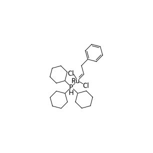 [Cl][Ru]([Cl])(=[CH]Cc1ccccc1)[PH](C1CCCCC1)(C1CCCCC1)C1CCCCC1